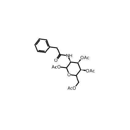 CC(=O)OCC1OC(OC(C)=O)[C@@H](NC(=O)Cc2ccccc2)[C@@H](OC(C)=O)[C@H]1OC(C)=O